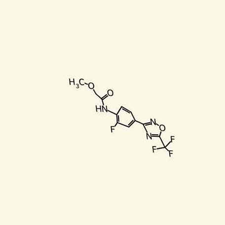 COCC(=O)Nc1ccc(-c2noc(C(F)(F)F)n2)cc1F